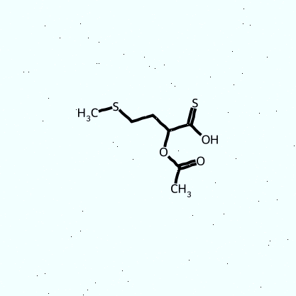 CSCCC(OC(C)=O)C(O)=S